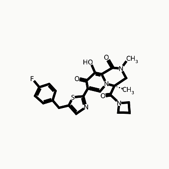 CN1C[C@@](C)(C(=O)N2CCC2)n2cc(-c3ncc(Cc4ccc(F)cc4)s3)c(=O)c(O)c2C1=O